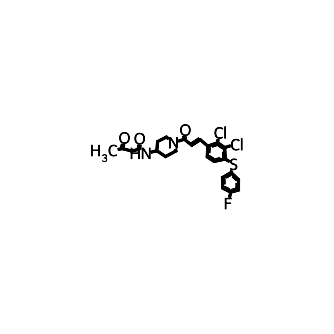 CC(=O)CC(=O)NC1CCN(C(=O)/C=C/c2ccc(Sc3ccc(F)cc3)c(Cl)c2Cl)CC1